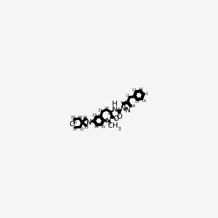 CN1C(=O)[C@H](NC(=O)n2cc(Cc3ccccc3)cn2)CCc2cc(N3CC4(CCOCC4)C3)ccc21